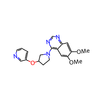 COc1cc2ncnc(N3CCC(Oc4cccnc4)C3)c2cc1OC